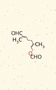 CC(C=O)=CCCC(C)=CCOC=O